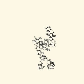 CCCC(=O)NCCCC[C@H](NC(=O)CCCn1nnc(CBr)c1CBr)C(=O)Nc1ccc(COC(=O)N(C)[C@H](C(=O)N[C@H](C(=O)N(C)[C@@H]([C@@H](C)CC)[C@@H](CC(=O)N2CCC[C@H]2[C@H](OC)[C@@H](C)C(=O)N[C@H](C)[C@@H](O)c2ccccc2)OC)C(C)C)C(C)C)cc1